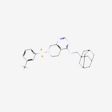 O=S(=O)(c1cccc(C(F)(F)F)c1)N1CCc2c(ncnc2NCC23CC4CC(CC(C4)C2)C3)C1